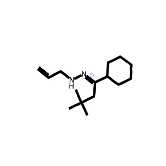 C=CCN/N=C(\CC(C)(C)C)C1CCCCC1